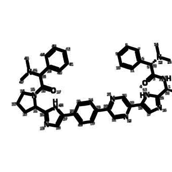 C[C@H](NC(=O)[C@H](c1ccccc1)N(C)C)c1ncc(-c2cnc(-c3ccc(-c4cnc(C5CCCN5C(=O)C(c5ccccc5)N(C)C)[nH]4)cc3)cn2)[nH]1